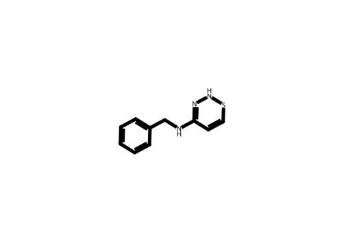 C1=CC(NCc2ccccc2)=NNS1